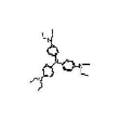 CCN(CC)c1ccc(N(c2ccc(N(CC)CC)cc2)c2ccc(N(CC)CC)cc2)cc1